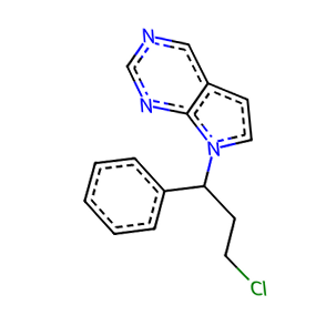 ClCCC(c1ccccc1)n1ccc2cncnc21